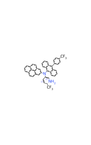 N/C=C(\C=C/CC(F)(F)F)N(c1cc2ccc3cccc4ccc(c1)c2c34)c1c2ccccc2c(-c2ccc(C(F)(F)F)cc2)c2ccccc12